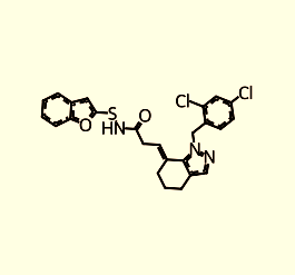 O=C(C/C=C1\CCCc2cnn(Cc3ccc(Cl)cc3Cl)c21)NSc1cc2ccccc2o1